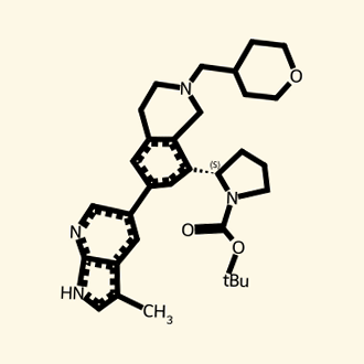 Cc1c[nH]c2ncc(-c3cc4c(c([C@@H]5CCCN5C(=O)OC(C)(C)C)c3)CN(CC3CCOCC3)CC4)cc12